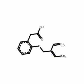 C=C/C(=C\C)COc1ccccc1CC(=O)O